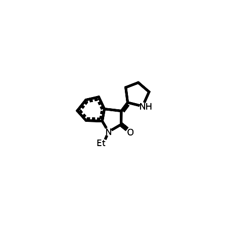 CCN1C(=O)C(=C2CCCN2)c2ccccc21